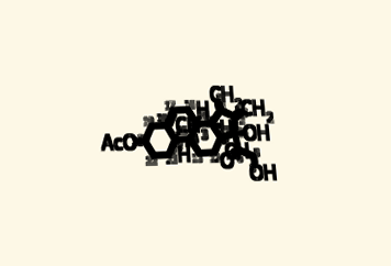 C=C1C(=C)[C@](O)(C(=O)CO)[C@@]2(C)CC[C@H]3[C@@H](CC=C4CC(OC(C)=O)CC[C@@]43C)[C@H]12